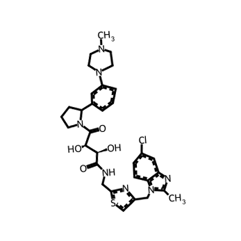 Cc1nc2cc(Cl)ccc2n1Cc1csc(CNC(=O)[C@H](O)[C@@H](O)C(=O)N2CCCC2c2cccc(N3CCN(C)CC3)c2)n1